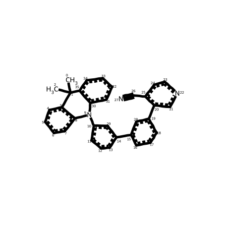 CC1(C)c2ccccc2N(c2cccc(-c3cccc(-c4cnccc4C#N)c3)c2)c2ccccc21